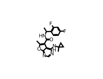 Cc1oc2ncnc(NC3(C)CC3)c2c1C(=O)NC(C)c1ccc(F)cc1F